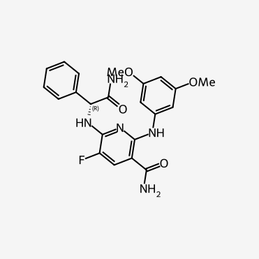 COc1cc(Nc2nc(N[C@@H](C(N)=O)c3ccccc3)c(F)cc2C(N)=O)cc(OC)c1